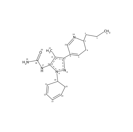 CCCC1CC=C(c2nn(C3C=CC=CC3)c(NC(N)=O)c2C)C=N1